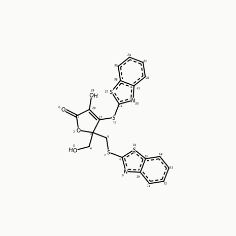 O=C1OC(CO)(CSc2nc3ccccc3s2)C(Sc2nc3ccccc3s2)=C1O